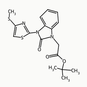 CSc1csc(-n2c(=O)n(CC(=O)OC(C)(C)C)c3ccccc32)n1